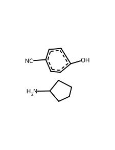 N#Cc1ccc(O)cc1.NC1CCCC1